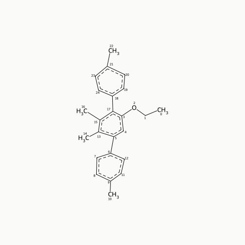 CCOc1cc(-c2ccc(C)cc2)c(C)c(C)c1-c1ccc(C)cc1